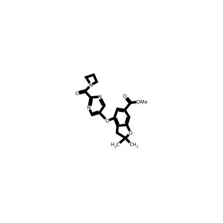 COC(=O)c1cc(Oc2cnc(C(=O)N3CCC3)nc2)c2c(c1)OC(C)(C)C2